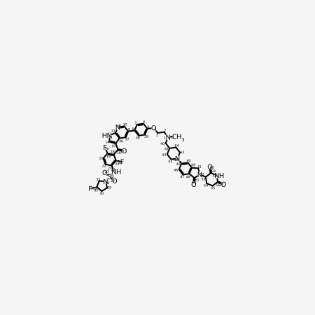 CN(CCOc1ccc(-c2cnc3[nH]cc(C(=O)c4c(F)ccc(NS(=O)(=O)N5CC[C@@H](F)C5)c4F)c3c2)cc1)CC1CCN(c2ccc3c(c2)CN(C2CCC(=O)NC2=O)C3=O)CC1